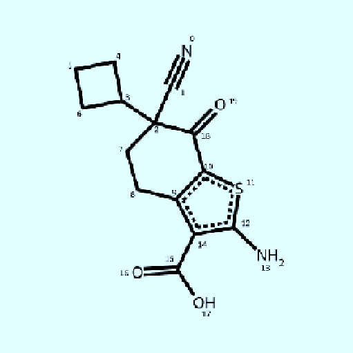 N#CC1(C2CCC2)CCc2c(sc(N)c2C(=O)O)C1=O